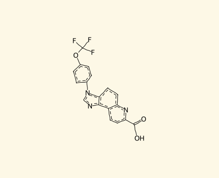 O=C(O)c1ccc2c(ccc3c2ncn3-c2ccc(OC(F)(F)F)cc2)n1